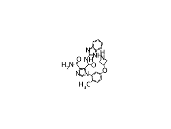 Cc1ccc(OC2CNC2)cc1-n1cnc(C(N)=O)c1C(=O)Nc1nc2ccccc2[nH]1